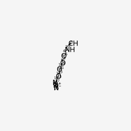 C#CCNCCOCCOCCOCCOCCN=[N+]=[N-]